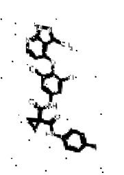 Cc1n[nH]c2nccc(Oc3c(Cl)cc(NC(=O)C4(C(=O)Nc5ccc(F)cc5)CC4)cc3Cl)c12